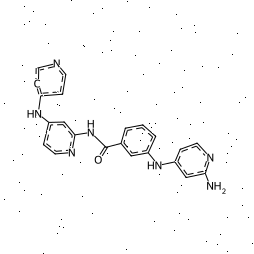 Nc1cc(Nc2cccc(C(=O)Nc3cc(Nc4ccncc4)ccn3)c2)ccn1